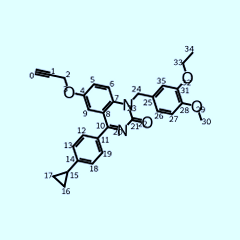 C#CCOc1ccc2c(c1)c(-c1ccc(C3CC3)cc1)nc(=O)n2Cc1ccc(OC)c(OCC)c1